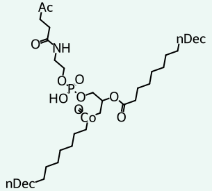 CCCCCCCCCCCCCCCCCC(=O)OC(COP(=O)(O)OCCNC(=O)CCC(C)=O)[CH2][Co](=[O])[CH2]CCCCCCCCCCCCCCCC